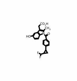 Cc1c(CC(=O)O)c2cc(O)ccc2n1C(=O)c1ccc(C2CC2C(F)F)cc1